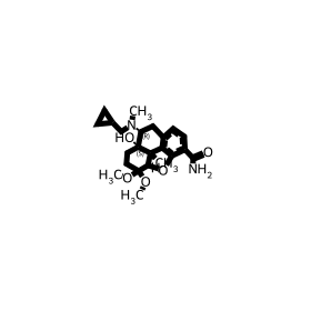 COC1(OC)CC[C@@]2(O)[C@H](N(C)CC3CC3)Cc3ccc(C(N)=O)c4c3C2(C)[C@H]1O4